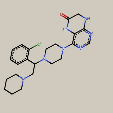 O=C1CNc2ncnc(N3CCN(C(CN4CCCCC4)c4ccccc4Cl)CC3)c2N1